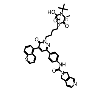 C[C@@H](C(=O)NCCCCn1nc(-c2ccc(NC(=O)N3Cc4ccncc4C3)cc2)cc(-c2cccc3ncccc23)c1=O)N(C(=O)O)C(C)(C)C